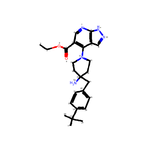 CCOC(=O)c1cnc2[nH]ncc2c1N1CCC(N)(Cc2ccc(C(C)(C)C)cc2)CC1